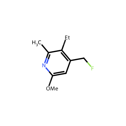 CCc1c(CF)cc(OC)nc1C